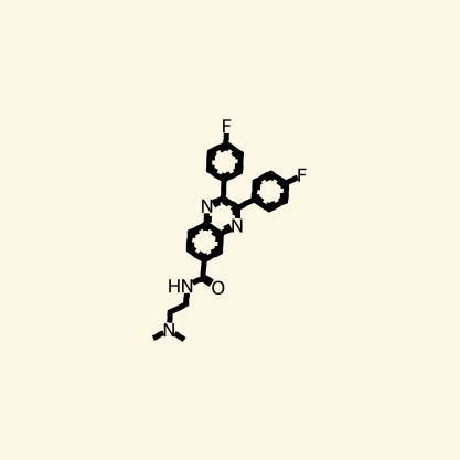 CN(C)CCNC(=O)c1ccc2nc(-c3ccc(F)cc3)c(-c3ccc(F)cc3)nc2c1